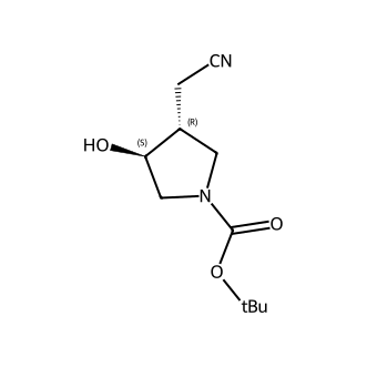 CC(C)(C)OC(=O)N1C[C@@H](CC#N)[C@H](O)C1